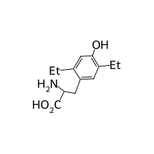 CCc1cc(CC(N)C(=O)O)c(CC)cc1O